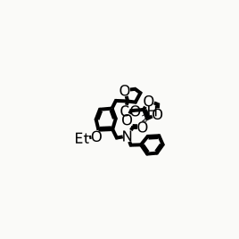 CCOc1ccc(CC2(C(=O)O)CCCO2)cc1CN(Cc1ccccc1)C(=O)OCC1=COCO1